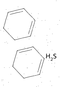 C1=CCCC=C1.C1=CCCC=C1.S